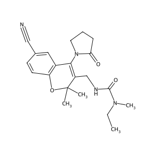 CCN(C)C(=O)NCC1=C(N2CCCC2=O)c2cc(C#N)ccc2OC1(C)C